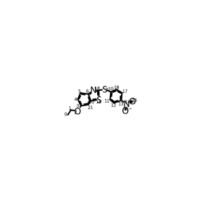 CCOc1ccc2nc(Sc3ccc([N+](=O)[O-])cc3)sc2c1